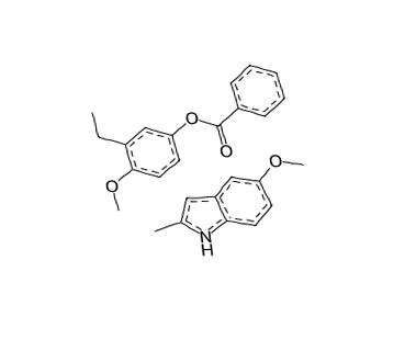 CCc1cc(OC(=O)c2ccccc2)ccc1OC.COc1ccc2[nH]c(C)cc2c1